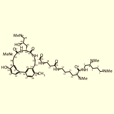 CNCCC[C@@H](CNC(=O)[C@H](CCCCNC(=O)CCNC(=O)[C@@H]1Cc2cc(ccc2C)-c2ccc(O)c(c2)C[C@H](NC)C(=O)N[C@@H](C[C@@H](O)CNC)C(=O)N1)NC)NC